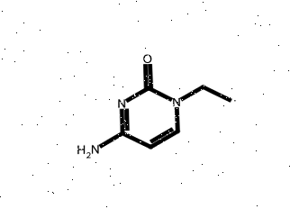 [CH2]Cn1ccc(N)nc1=O